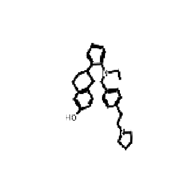 CCN(Cc1ccc(CCN2CCCC2)cc1)c1ccccc1C1CCc2cc(O)ccc2C1